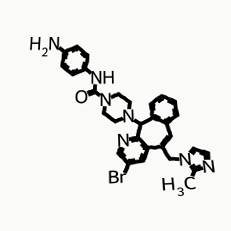 Cc1nccn1CC1=Cc2ccccc2C(N2CCN(C(=O)Nc3ccc(N)cc3)CC2)c2ncc(Br)cc21